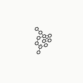 c1ccc(-c2ccc(-c3cc4c(cc3-c3cccc(-c5cccc(-c6cc(-c7ccccc7)cc(-c7ccccc7)n6)c5)c3)C3(c5ccccc5-c5ccccc53)c3ccccc3-4)cc2)cc1